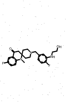 CN1c2ccc(F)cc2C(=O)CC12CCN(Cc1ccc(F)c(NCCO)c1)CC2